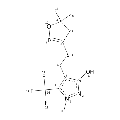 Cn1nc(O)c(CSC2=NOC(C)(C)C2)c1C(F)(F)F